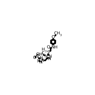 CCOc1ccc(NC(=O)CSc2nnc(Cn3nnc([N+](=O)O)n3)n2CC)cc1